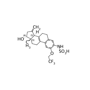 C=C1C[C@@H](O)[C@@]2(C)CCC3=C(CCc4cc(NS(=O)(=O)O)c(OCC(F)(F)F)cc43)[C@H]12